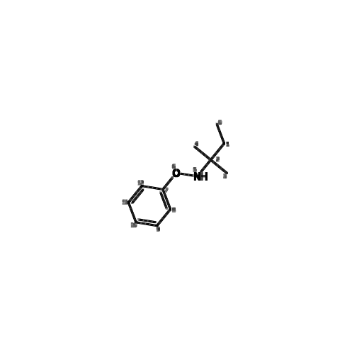 CCC(C)(C)NOc1ccccc1